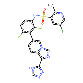 Cc1ncc(Cl)cc1S(=O)(=O)Nc1ccc(F)c(-c2ccc3c(-c4nnc[nH]4)ncn3c2)c1F